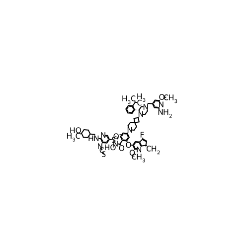 C=C1C=C(F)c2cc(Oc3cc(N4CCC5(CC4)CC(N4CCN(Cc6cc(N)nc(OC)c6)C[C@H]4c4ccccc4C(C)C)C5)ccc3C(=O)N(O)[S+]([O-])c3cnc(NCC4CCC(C)(O)CC4)c(N=C=S)c3)c(OC)nc21